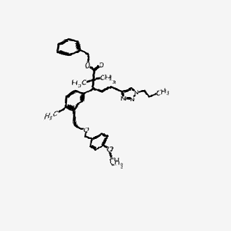 CCCn1cc(CCC(c2ccc(C)c(COCc3ccc(OC)cc3)c2)C(C)(C)C(=O)OCc2ccccc2)nn1